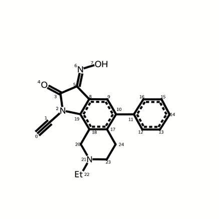 C#CN1C(=O)C(=NO)c2cc(-c3ccccc3)c3c(c21)CN(CC)CC3